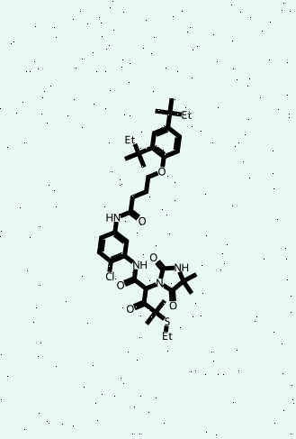 CCSC(C)(C)C(=O)C(C(=O)Nc1cc(NC(=O)CCCOc2ccc(C(C)(C)CC)cc2C(C)(C)CC)ccc1Cl)N1C(=O)NC(C)(C)C1=O